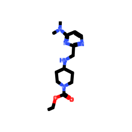 CCOC(=O)N1CCC(NCc2nccc(N(C)C)n2)CC1